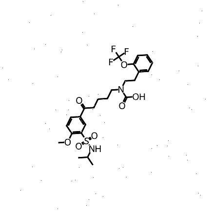 COc1ccc(C(=O)CCCCN(CCc2ccccc2OC(F)(F)F)C(=O)O)cc1S(=O)(=O)NC(C)C